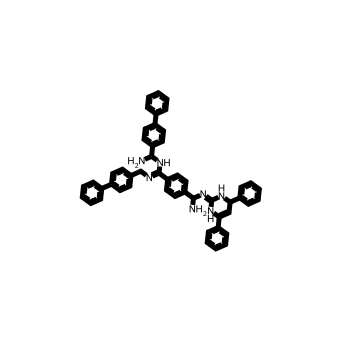 NC(/N=C1\NC(c2ccccc2)=CC(c2ccccc2)N1)c1ccc(/C(=N/Cc2ccc(-c3ccccc3)cc2)NC(N)c2ccc(-c3ccccc3)cc2)cc1